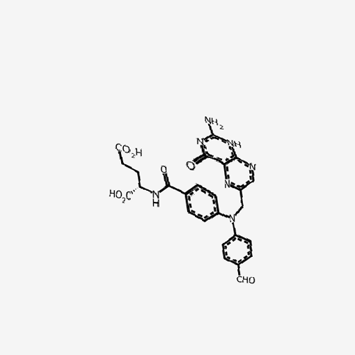 Nc1nc(=O)c2nc(CN(c3ccc(C=O)cc3)c3ccc(C(=O)N[C@@H](CCC(=O)O)C(=O)O)cc3)cnc2[nH]1